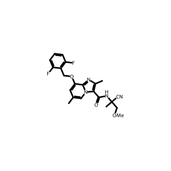 COCC(C)(C#N)NC(=O)c1c(C)nc2c(OCc3c(F)cccc3F)cc(C)cn12